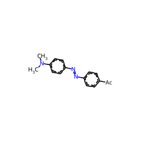 CC(=O)c1ccc(N=Nc2ccc(N(C)C)cc2)cc1